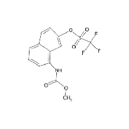 COC(=O)Nc1cccc2ccc(OS(=O)(=O)C(F)(F)F)cc12